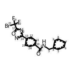 O=C(NCc1ccccc1)c1ccc(-c2noc(C(F)(F)Br)n2)cc1